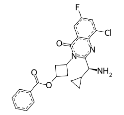 N[C@H](c1nc2c(Cl)cc(F)cc2c(=O)n1C1CC(OC(=O)c2ccccc2)C1)C1CC1